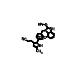 CCCOC1Nc2cccc(C(=O)OCC)c2N1Cc1ccc(-c2[nH]c(C)cc2CCC#N)cc1